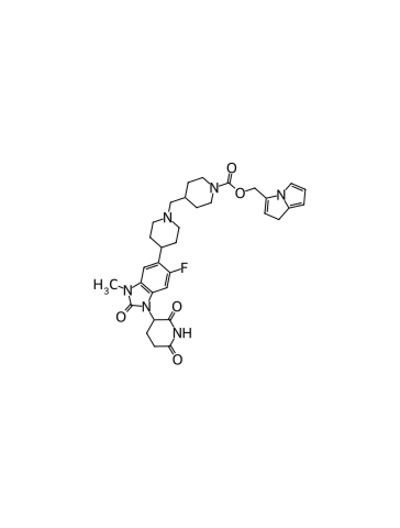 Cn1c(=O)n(C2CCC(=O)NC2=O)c2cc(F)c(C3CCN(CC4CCN(C(=O)OCC5=CCc6cccn65)CC4)CC3)cc21